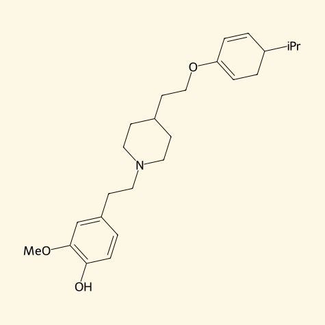 COc1cc(CCN2CCC(CCOC3=CCC(C(C)C)C=C3)CC2)ccc1O